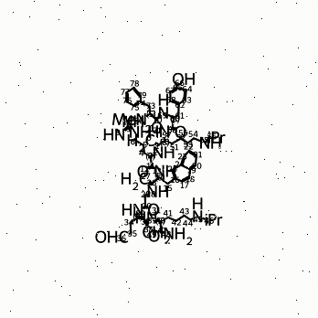 C=C(N[C@H](CCCNC(=N)N)C(=O)N[C@@H](Cc1ccc2ccccc2c1)C(=C)NCC(=O)N[C@H](CCC=O)C(=C)N[C@@H](CCCCNC(C)C)C(N)=O)[C@H](CCCCNC(C)C)NC(=O)[C@H](Cc1ccc(O)cc1)NC(=O)[C@H](Cc1ccccc1)NC